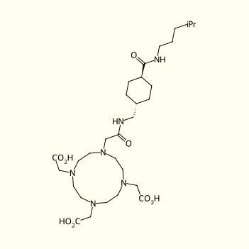 CC(C)CCCNC(=O)[C@H]1CC[C@H](CNC(=O)CN2CCN(CC(=O)O)CCN(CC(=O)O)CCN(CC(=O)O)CC2)CC1